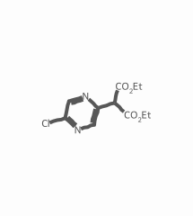 CCOC(=O)C(C(=O)OCC)c1cnc(Cl)cn1